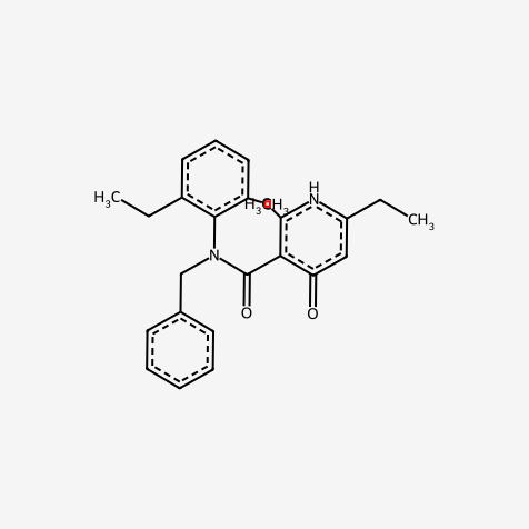 CCc1cc(=O)c(C(=O)N(Cc2ccccc2)c2c(C)cccc2CC)c(C)[nH]1